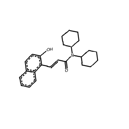 O=C(/C=C/c1c(O)ccc2ccccc12)N(C1CCCCC1)C1CCCCC1